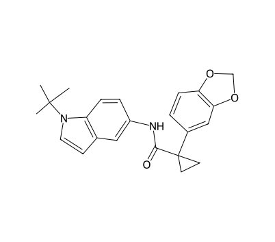 CC(C)(C)n1ccc2cc(NC(=O)C3(c4ccc5c(c4)OCO5)CC3)ccc21